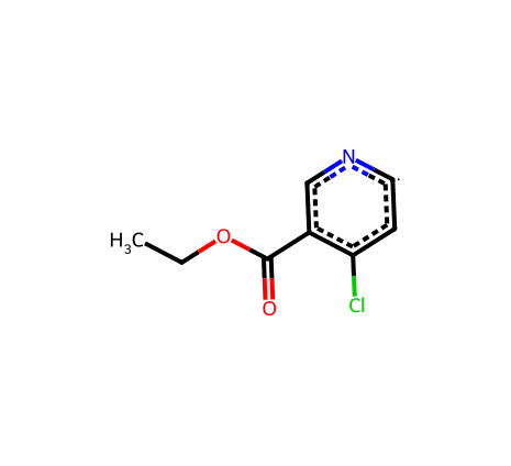 CCOC(=O)c1cn[c]cc1Cl